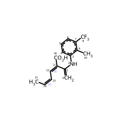 C=C(Nc1cccc(C(F)(F)F)c1C)/C(=C\C=C/C)C(=O)O